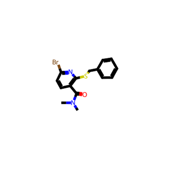 CN(C)C(=O)c1ccc(Br)nc1SCc1ccccc1